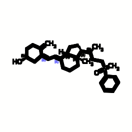 C=C1CC[C@H](O)C/C1=C/C=C1\CCC[C@]2(C)[C@@H]([C@H](C)CCS(=C)(=O)c3ccccc3)CC[C@@H]12